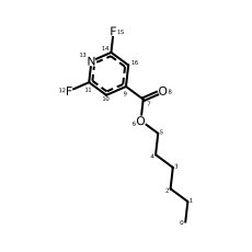 CCCCCCOC(=O)c1cc(F)nc(F)c1